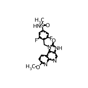 COc1ccc2c(ncc3[nH]c(=O)n(Cc4c(F)cc(S(C)(=N)=O)cc4F)c32)n1